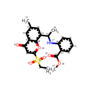 CCS(=O)(=O)c1cc(=O)c2cc(C)cc(C(C)Nc3ccccc3C(=O)OC)c2o1